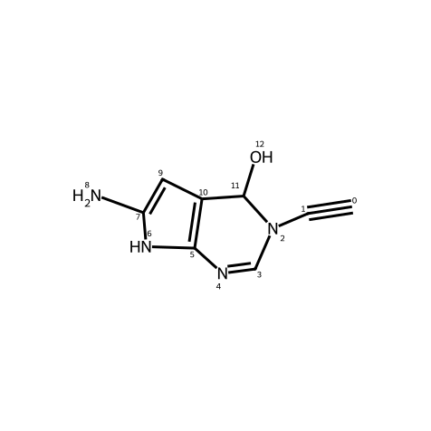 C#CN1C=Nc2[nH]c(N)cc2C1O